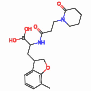 Cc1cccc2c1OCC2CC(NC(=O)CCN1CCCCC1=O)B(O)O